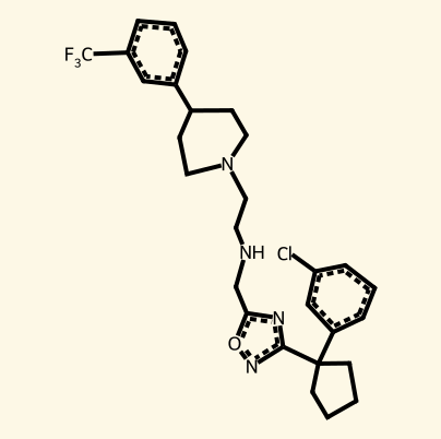 FC(F)(F)c1cccc(C2CCN(CCNCc3nc(C4(c5cccc(Cl)c5)CCCC4)no3)CC2)c1